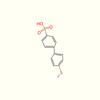 CSc1ccc(-c2ccc(S(=O)(=O)O)cc2)cc1